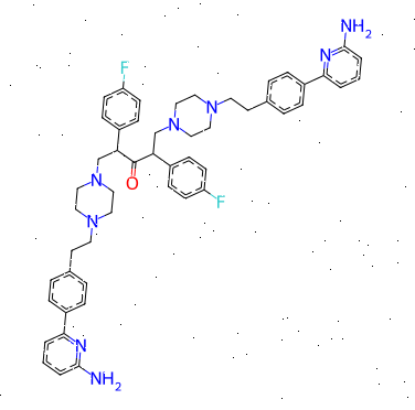 Nc1cccc(-c2ccc(CCN3CCN(CC(C(=O)C(CN4CCN(CCc5ccc(-c6cccc(N)n6)cc5)CC4)c4ccc(F)cc4)c4ccc(F)cc4)CC3)cc2)n1